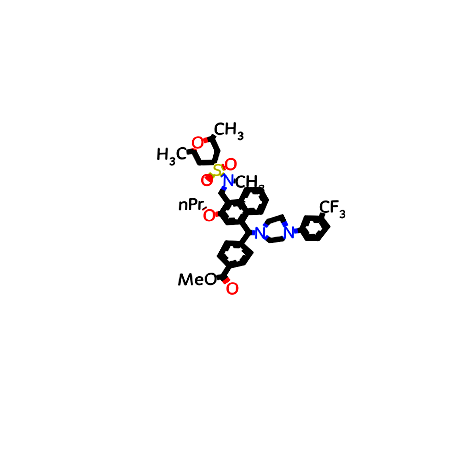 CCCOc1cc(C(c2ccc(C(=O)OC)cc2)N2CCN(c3cccc(C(F)(F)F)c3)CC2)c2ccccc2c1CN(C)S(=O)(=O)C1CC(C)OC(C)C1